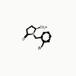 O=C(O)[C@@H]1CCC(=O)N1Cc1ccccc1Br